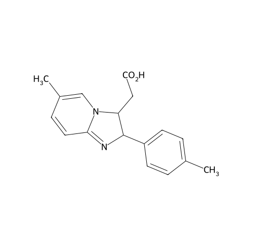 CC1=CN2C(=NC(c3ccc(C)cc3)C2CC(=O)O)C=C1